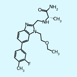 CCOCCn1c(CN[C@@H](C)C(N)=O)nc2ccc(-c3ccc(C)c(F)c3)cc21